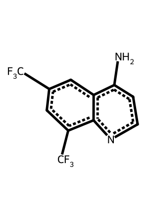 Nc1ccnc2c(C(F)(F)F)cc(C(F)(F)F)cc12